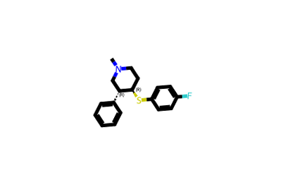 CN1CC[C@@H](Sc2ccc(F)cc2)[C@H](c2ccccc2)C1